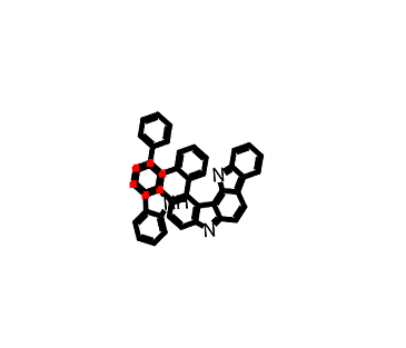 c1ccc(-c2ccc3c(c2-c2ccccc2-c2c(-c4ccccc4)ccc4c2[nH]c2ccccc24)-c2c4c(ccc2=N3)=c2ccccc2=N4)cc1